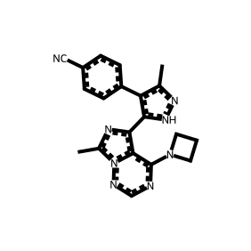 Cc1n[nH]c(-c2nc(C)n3ncnc(N4CCC4)c23)c1-c1ccc(C#N)cc1